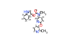 Cc1ncccc1Oc1ccc(N(C)C(=O)Oc2c[nH]c3ccccc23)cn1